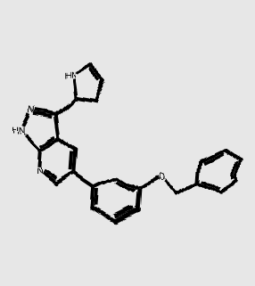 C1=CNC(c2n[nH]c3ncc(-c4cccc(OCc5ccccc5)c4)cc23)C1